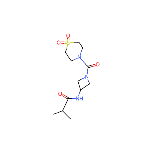 CC(C)C(=O)NC1CN(C(=O)N2CCS(=O)(=O)CC2)C1